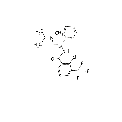 CC(C)N(C)C[C@@H](NC(=O)c1cccc(C(F)(F)F)c1Cl)c1ccccc1